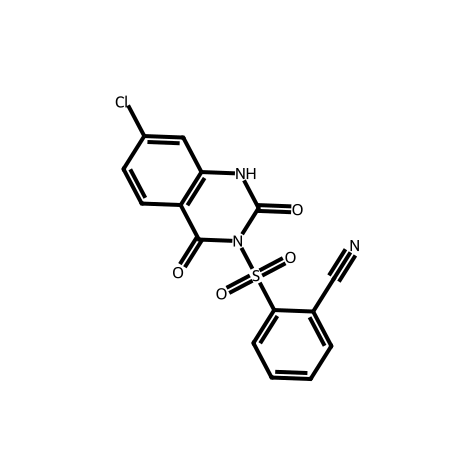 N#Cc1ccccc1S(=O)(=O)n1c(=O)[nH]c2cc(Cl)ccc2c1=O